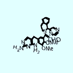 COc1cc(Cc2cnc(N)nc2N)cc(C(=CC=O)N2CCc3ccccc3C2c2cnccn2)c1OC